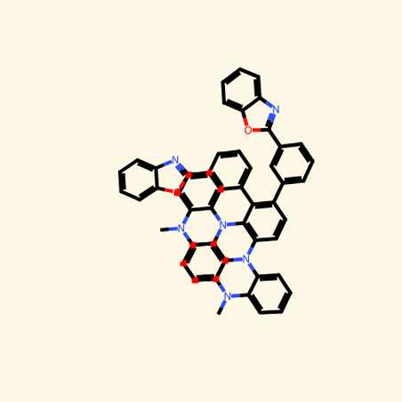 CN1c2ccccc2N(c2ccc(-c3cccc(-c4nc5ccccc5o4)c3)c(-c3cccc(-c4nc5ccccc5o4)c3)c2N2c3ccccc3N(C)c3ccccc32)c2ccccc21